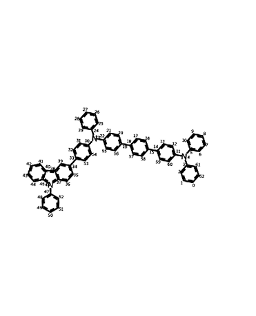 c1ccc(N(c2ccccc2)c2ccc(-c3ccc(-c4ccc(N(c5ccccc5)c5ccc(-c6ccc7c(c6)c6ccccc6n7-c6ccccc6)cc5)cc4)cc3)cc2)cc1